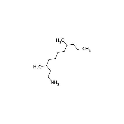 CCCC(C)CCCCC(C)CCN